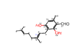 CC(C)=CCC/C(C)=C/Cc1c(O)cc(C)c(C=O)c1O